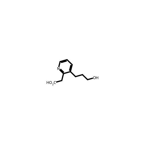 O=C(O)Cc1ncccc1CCCO